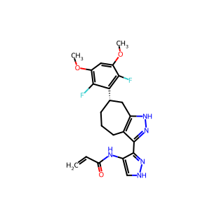 C=CC(=O)Nc1c[nH]nc1-c1n[nH]c2c1CCC[C@H](c1c(F)c(OC)cc(OC)c1F)C2